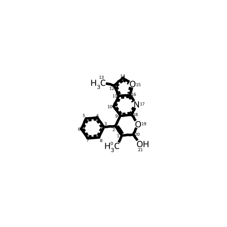 CC1=C(c2ccccc2)c2cc3c(C)coc3nc2OC1O